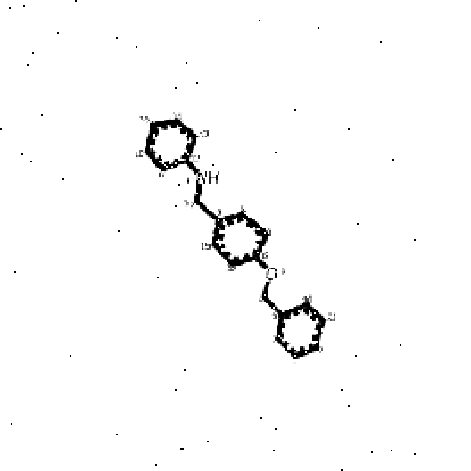 c1ccc(COc2ccc(CNc3ccccc3)cc2)cc1